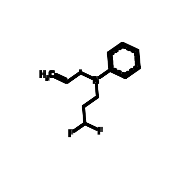 C=C[CH]N(CCC(F)F)c1ccccc1